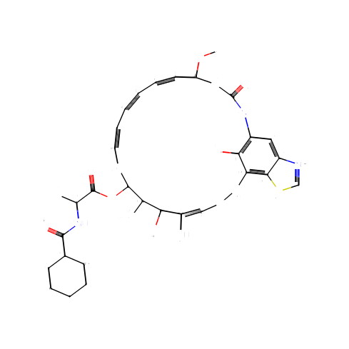 COC1\C=C/C=C\C=C/CC(OC(=O)C(C)NC(=O)C2CCCCC2)C(C)C(O)/C(C)=C\CCc2c(O)c(cc3ncsc23)NC(=O)C1